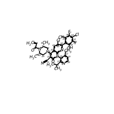 C=CC(=O)N1[C@H](C)CN(c2c(C#N)c(=O)n(-c3c(C)ccnc3C(C)C)c3nc(-c4c(O)c(F)c(Cl)c(F)c4Cl)c(Cl)cc23)C[C@@H]1C